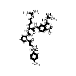 Cc1ccc(S(=O)(=O)NCC(=O)N2CCC[C@H]2C(=O)N[C@@H](CCCN=C(N)N)C(=O)Nc2ccc([N+](=O)[O-])c(C(=O)NC(C)C)c2)cc1